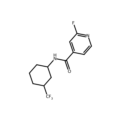 O=C(NC1CCCC(C(F)(F)F)C1)c1ccnc(F)c1